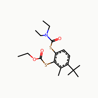 CCOC(=O)Sc1c(SC(=O)N(CC)CC)ccc(C(C)(C)C)c1C